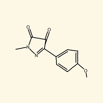 COc1ccc(C2=NN(C)C(=O)C2=O)cc1